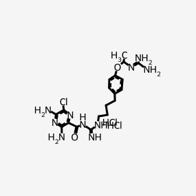 CC(N=C(N)N)Oc1ccc(CCCCNC(=N)NC(=O)c2nc(Cl)c(N)nc2N)cc1.Cl.Cl